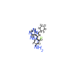 Nc1ccc(-c2cc(C3CCCCC3)n3ncnc(N)c23)c(F)c1